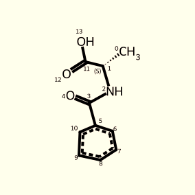 C[C@H](NC(=O)c1ccccc1)C(=O)O